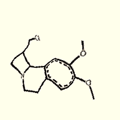 COc1cc2c(cc1OC)C1C(CCl)CN1CC2